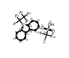 FC(F)(F)C(F)(F)[s+]1c2ccccc2c2ccccc21.O=S(=O)(O)C(F)(F)F